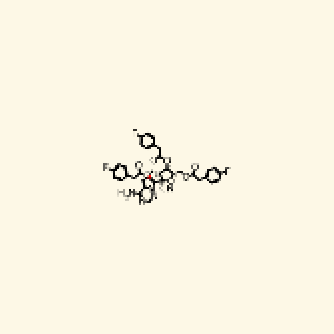 N#C[C@@]1(c2ccc3c(N)ncnn23)O[C@H](COC(=O)Cc2ccc(F)cc2)[C@@H](OC(=O)Cc2ccc(F)cc2)[C@H]1COC(=O)Cc1ccc(F)cc1